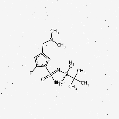 CN(C)Cc1cc(F)c(S(N)(=O)=N[Si](C)(C)C(C)(C)C)s1